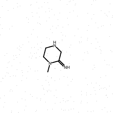 CN1CCNCC1=N